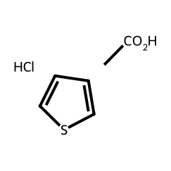 CC(=O)O.Cl.c1ccsc1